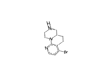 Brc1ccnc2c1CCC1CNCCN21